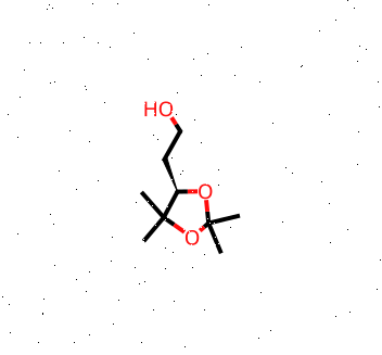 CC1(C)O[C@H](CCO)C(C)(C)O1